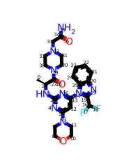 C[C@H](Nc1nc(N2CCOCC2)cc(-n2c(C(F)F)nc3ccccc32)n1)C(=O)N1CCN(CC(N)=O)CC1